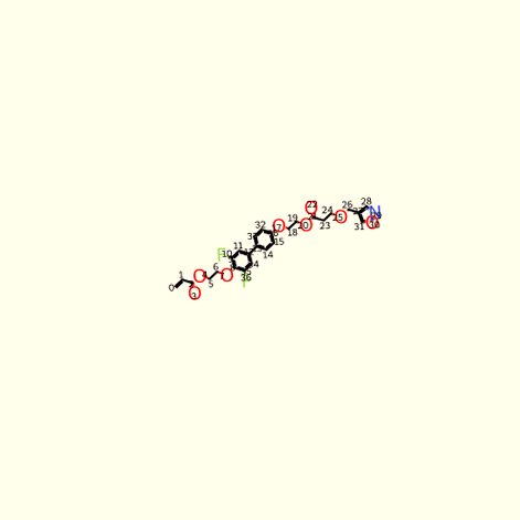 C=CC(=O)OCCOc1c(F)cc(-c2ccc(OCCOC(=O)CCOCc3cnoc3)cc2)cc1F